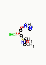 Cc1cccc2nc(SCc3ccc(C(=O)c4ccc(OCCN(C)CCc5ccccn5)cc4)cc3)n(C)c(=O)c12.Cl.Cl